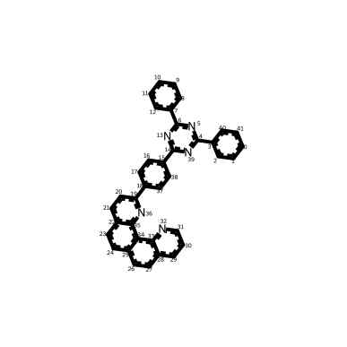 c1ccc(-c2nc(-c3ccccc3)nc(-c3ccc(-c4ccc5ccc6ccc7cccnc7c6c5n4)cc3)n2)cc1